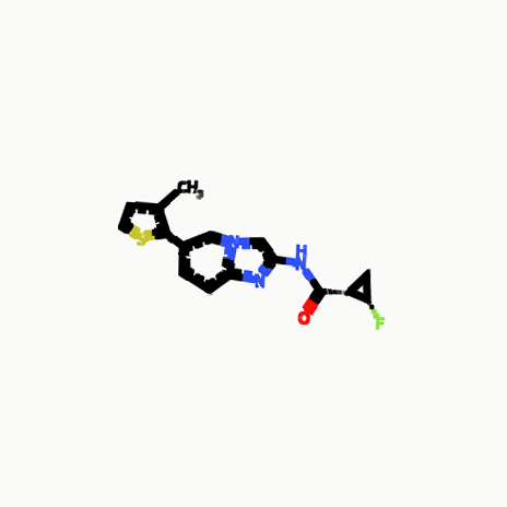 Cc1ccsc1-c1ccc2nc(NC(=O)[C@@H]3C[C@@H]3F)cn2c1